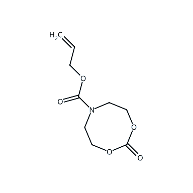 C=CCOC(=O)N1CCOC(=O)OCC1